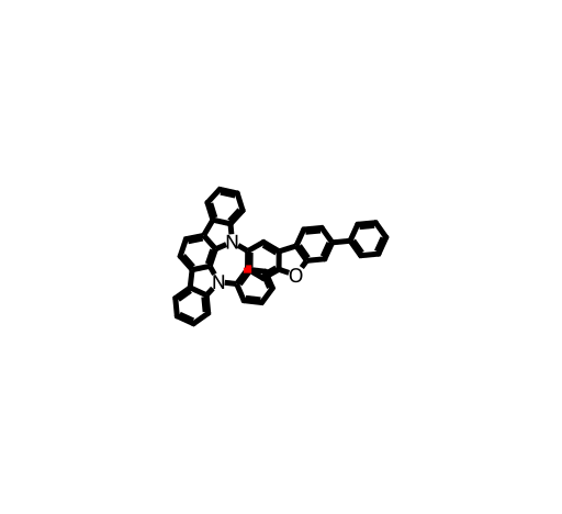 c1ccc(-c2ccc3c(c2)oc2ccc(-n4c5ccccc5c5ccc6c7ccccc7n(-c7ccccc7)c6c54)cc23)cc1